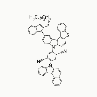 C/C=C\c1c(C(C)C)c2ccccc2n1-c1ccc2c(c1)c1c3c(ccc1n2C1=CC(C#N)=C(n2c4ccccc4c4c5ccccc5ccc42)CC1C#N)sc1ccccc13